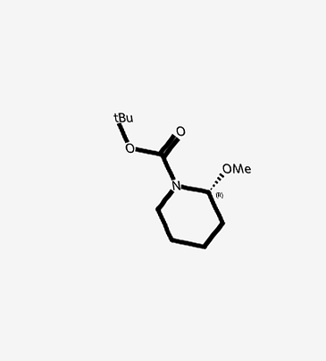 CO[C@@H]1CCCCN1C(=O)OC(C)(C)C